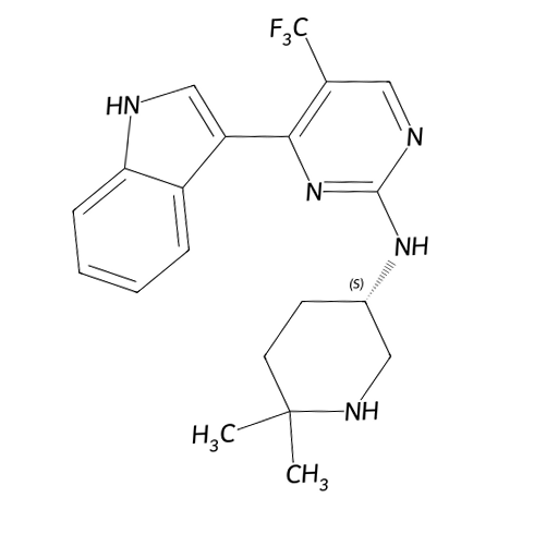 CC1(C)CC[C@H](Nc2ncc(C(F)(F)F)c(-c3c[nH]c4ccccc34)n2)CN1